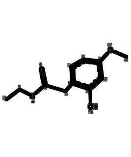 CCOC(=O)Cc1ccc(OC)cc1O